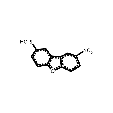 O=[N+]([O-])c1ccc2oc3ccc(S(=O)(=O)O)cc3c2c1